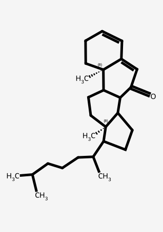 CC(C)CCCC(C)C1CCC2C3C(=O)C=C4C=CCC[C@]4(C)C3CC[C@]12C